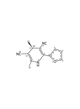 [C-]#[N+]C1=C(c2ccco2)NC(C)=C(C#N)[C@H]1C